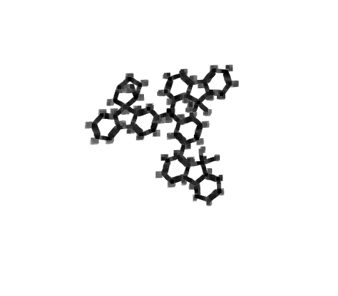 CC1(C)c2ccccc2-c2cccc(-c3cccc(N(c4ccc5c(c4)C4(CC6CCC4C6)c4ccccc4-5)c4cccc5c4C(C)(C)c4ccccc4-5)c3)c21